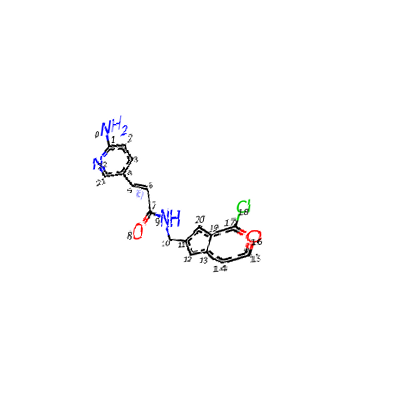 Nc1ccc(/C=C/C(=O)NCc2cc3c[c]oc(Cl)c-3c2)cn1